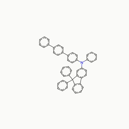 c1ccc(-c2ccc(-c3ccc(N(c4ccccc4)c4ccc5c(c4)C(c4ccccc4)(c4ccccc4)c4ccccc4-5)cc3)cc2)cc1